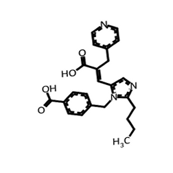 CCCCc1ncc(/C=C(\Cc2ccncc2)C(=O)O)n1Cc1ccc(C(=O)O)cc1